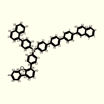 c1ccc2cc(-c3ccc(-c4ccc(-c5ccc(N(c6ccc(-c7cccc8ccccc78)cc6)c6ccc(-c7cccc8c7oc7ccccc78)cc6)cc5)cc4)cc3)ccc2c1